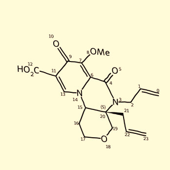 C=CCN1C(=O)c2c(OC)c(=O)c(C(=O)O)cn2C2CCOC[C@]21CC=C